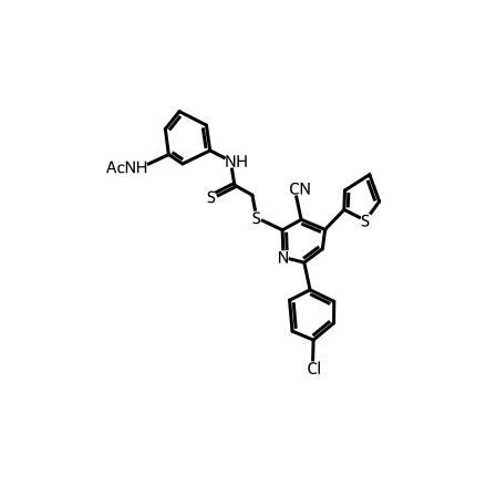 CC(=O)Nc1cccc(NC(=S)CSc2nc(-c3ccc(Cl)cc3)cc(-c3cccs3)c2C#N)c1